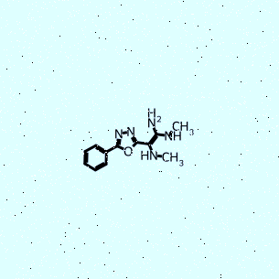 CN/C(N)=C(\NC)c1nnc(-c2ccccc2)o1